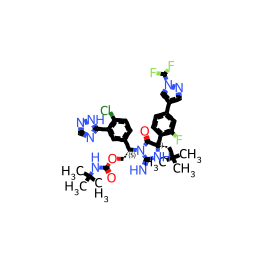 CC(C)(C)C[C@]1(c2ccc(-c3cnn(C(F)F)c3)cc2F)NC(=N)N([C@H](COC(=O)NC(C)(C)C)c2ccc(Cl)c(-c3ncn[nH]3)c2)C1=O